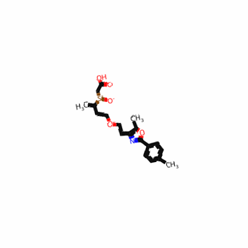 Cc1ccc(-c2nc(CCOCCC(C)[S+]([O-])CC(=O)O)c(C)o2)cc1